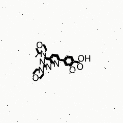 COc1cc(-c2ccc3c(N4CCOC[C@@H]4C)nc(N4CCOCC4)nc3n2)ccc1C(=O)O